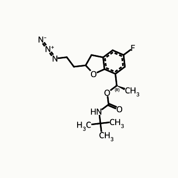 C[C@@H](OC(=O)NC(C)(C)C)c1cc(F)cc2c1OC(CCN=[N+]=[N-])C2